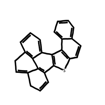 C1=Cc2c3c4c(cccc4c4c2sc2ccc5ccccc5c24)CC=C3C1